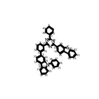 c1ccc(-c2nc(-c3cccc(-c4ccc5c6ccccc6n(-c6ccccc6)c5c4)c3)nc(-c3ccc4c(c3)sc3ccccc34)n2)cc1